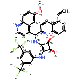 C=Cc1cccc2nc([C@H](Nc3c(Nc4cc(C(F)(F)F)cc(C(F)(F)F)c4)c(=O)c3=O)c3ccnc4ccc(OC)cc34)ccc12